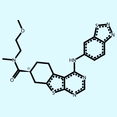 COCCN(C)C(=O)[C@H]1CCc2c(sc3ncnc(Nc4ccc5nnsc5c4)c23)C1